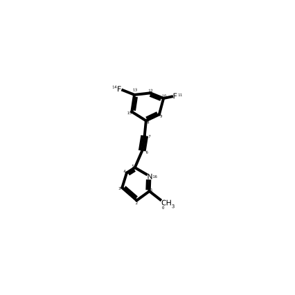 Cc1cccc(C#Cc2cc(F)cc(F)c2)n1